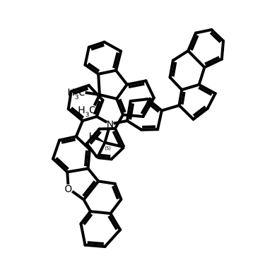 CC1(C)c2ccccc2-c2cccc(-c3ccc4cc3[C@H]4N(c3ccc(-c4cccc5c4ccc4ccccc45)cc3)c3ccccc3-c3ccc4oc5c6ccccc6ccc5c4c3)c21